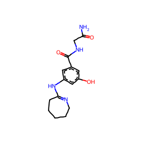 NC(=O)CNC(=O)c1cc(O)cc(NC2=NCCCCC2)c1